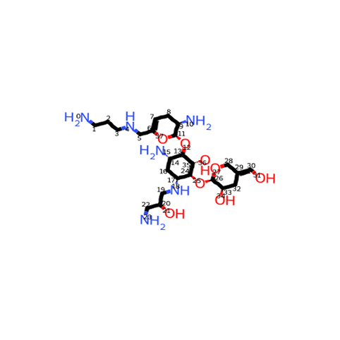 NCCCNCC1=CC[C@@H](N)[C@@H](OC2[C@@H](N)C[C@@H](NCC(O)CN)[C@H](O[C@H]3OC/C(=C/O)C[C@H]3O)[C@H]2O)O1